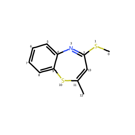 CSC1=Nc2ccccc2SC(C)=C1